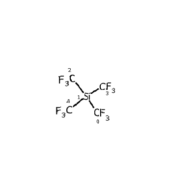 FC(F)(F)[Si](C(F)(F)F)(C(F)(F)F)C(F)(F)F